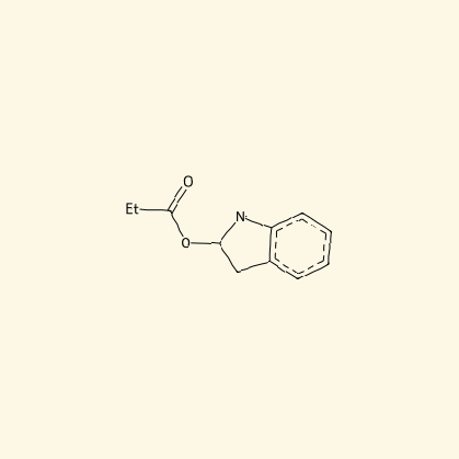 CCC(=O)OC1Cc2ccccc2[N]1